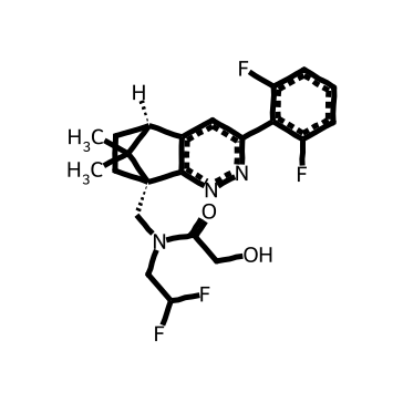 CC1(C)[C@H]2CC[C@]1(CN(CC(F)F)C(=O)CO)c1nnc(-c3c(F)cccc3F)cc12